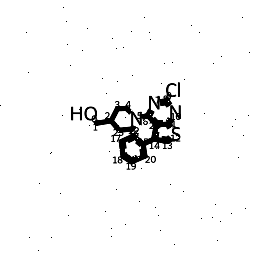 OCC1CCN(c2nc(Cl)nc3scc(-c4ccccc4)c23)CC1